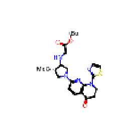 CO[C@H]1CN(c2ccc3c(n2)N(c2nccs2)CCC3=O)C[C@@H]1NCC(=O)OC(C)(C)C